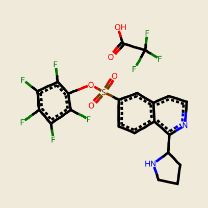 O=C(O)C(F)(F)F.O=S(=O)(Oc1c(F)c(F)c(F)c(F)c1F)c1ccc2c(C3CCCN3)nccc2c1